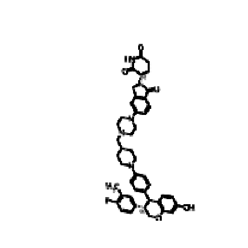 Cc1cc([C@H]2COc3cc(O)ccc3C2c2ccc(N3CCC(CN4CCN(c5ccc6c(c5)CN([C@H]5CCC(=O)NC5=O)C6=O)CC4)CC3)cc2)ccc1F